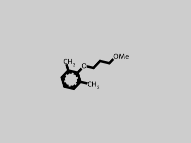 COCCCOc1c(C)cccc1C